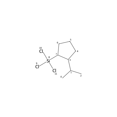 CC(C)C1CCCC1[Si](Cl)(Cl)Cl